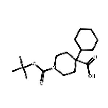 CC(C)(C)OC(=O)N1CCC(C(=O)O)(C2CCCCC2)CC1